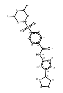 CC1CC(C)CN(S(=O)(=O)c2ccc(C(=O)Nc3nnc(C4CCCO4)o3)cc2)C1